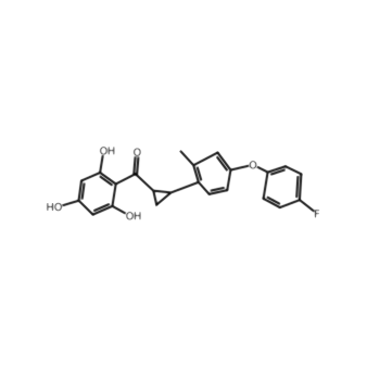 Cc1cc(Oc2ccc(F)cc2)ccc1C1CC1C(=O)c1c(O)cc(O)cc1O